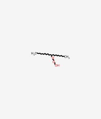 CCCCCCCCCCCCC(CCCCCCCCCC)COCCOCCO